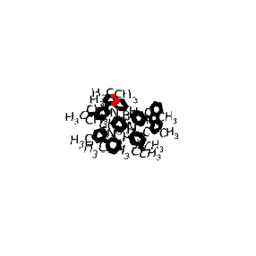 Cc1cc(C)c2c(c1)C1(C)CCCCC1(C)N2c1ccc2c(c1)N(c1ccc(C(C)(C)C)cc1)c1cc(N3c4c(C)cc(C)cc4C4(C)CCCCC34C)cc3c1B2c1ccc(C(C)(C)C)cc1N3c1ccc(C(C)(C)C)cc1-c1ccccc1